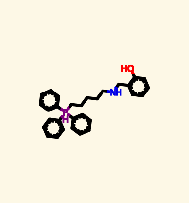 Oc1ccccc1CNCCCCC[PH](c1ccccc1)(c1ccccc1)c1ccccc1